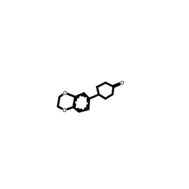 O=C1CCC(c2ccc3c(c2)OCCO3)CC1